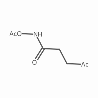 CC(=O)CCC(=O)NOC(C)=O